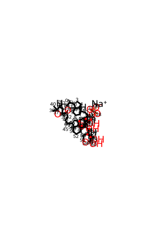 C[C@@H]([C@H]1CC[C@H]2C3=C(CC[C@]12C)[C@@]12CO[C@@](O)([C@@H](O)C1)C(C)(C)[C@@H]2[C@@H](OS(=O)(=O)[O-])C3)[C@H]1C[C@@H]2C[C@@](C)(OC2(C)C)[C@H](CC[C@@H](C)[C@H]2CC[C@H]3C4=C(CC[C@]23C)[C@@]23CO[C@@](O)([C@@H](O)C2)C(C)(C)C3=CC4)O1.[Na+]